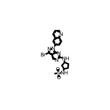 CS(=O)(=O)NC1CCC(Nc2ncc3c(Br)nn(-c4ccc5ncccc5c4)c3n2)C1